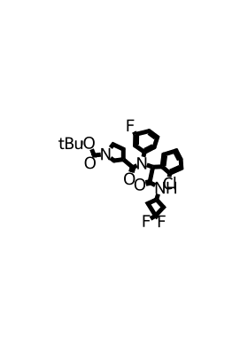 CC(C)(C)OC(=O)N1CCC(C(=O)N(c2cccc(F)c2)C(C(=O)NC2CC(F)(F)C2)c2ccccc2Cl)C1